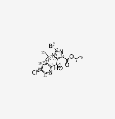 CCOC(=O)c1nc(Br)n(C(C)C)c1C(O)c1ccc(Cl)cn1